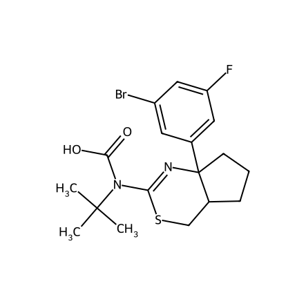 CC(C)(C)N(C(=O)O)C1=NC2(c3cc(F)cc(Br)c3)CCCC2CS1